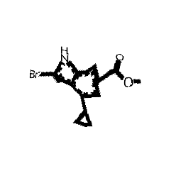 COC(=O)c1cc(C2CC2)c2cc(Br)[nH]c2c1